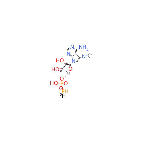 [2H]POP(=O)(O)OC[C@H]1O[C@@H](n2cc([N+]#[C-])c3c(N)ncnc32)[C@H](O)[C@@H]1O